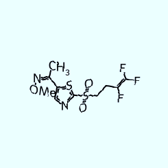 CO/N=C(/C)c1cnc(S(=O)(=O)CCC(F)=C(F)F)s1